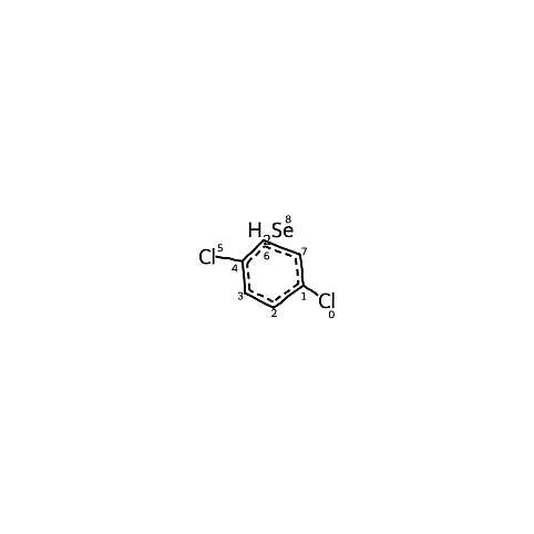 Clc1ccc(Cl)cc1.[SeH2]